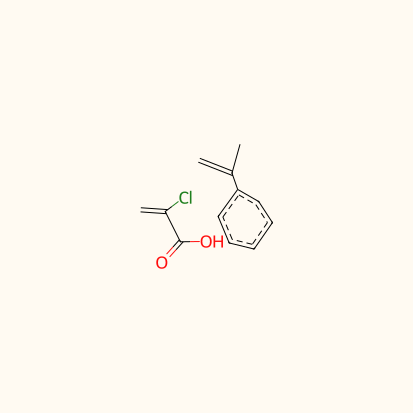 C=C(C)c1ccccc1.C=C(Cl)C(=O)O